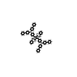 O=C1C2=C(c3ccc(N(c4ccc(-c5ccccc5)cc4)c4ccc(-c5ccccc5)cc4)cc3)N(Oc3ccccc3)C(=O)C2=C(c2ccc(N(c3ccc(-c4ccccc4)cc3)c3ccc(-c4ccccc4)cc3)cc2)N1Oc1ccccc1